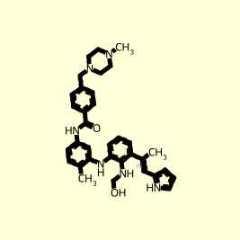 C/C(=C\c1ccc[nH]1)c1cccc(Nc2cc(NC(=O)c3ccc(CN4CCN(C)CC4)cc3)ccc2C)c1NCO